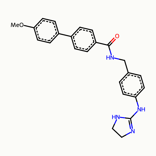 COc1ccc(-c2ccc(C(=O)NCc3ccc(NC4=NCCN4)cc3)cc2)cc1